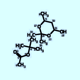 CC(=O)OC(C)(C)C.CC1CC(O)OC(C)(C)O1